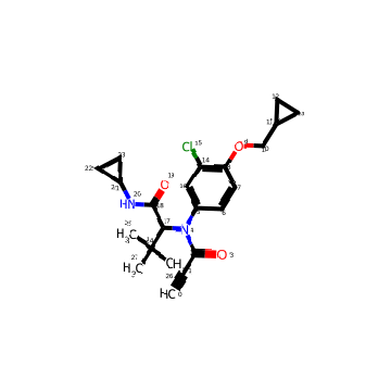 C#CC(=O)N(c1ccc(OCC2CC2)c(Cl)c1)C(C(=O)NC1CC1)C(C)(C)C